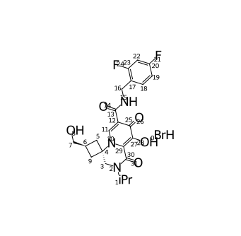 Br.CC(C)N1C[C@]2(C[C@H](CO)C2)n2cc(C(=O)NCc3ccc(F)cc3F)c(=O)c(O)c2C1=O